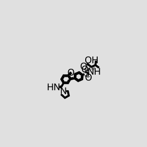 CC(C)[C@H](NS(=O)(=O)c1ccc2c(c1)oc1ccc(C(=N)N3CCCC3)cc12)C(=O)O